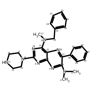 CN(C)c1nc2nc(N3CCNCC3)nc(N(C)Cc3ccccc3)c2nc1-c1ccccc1